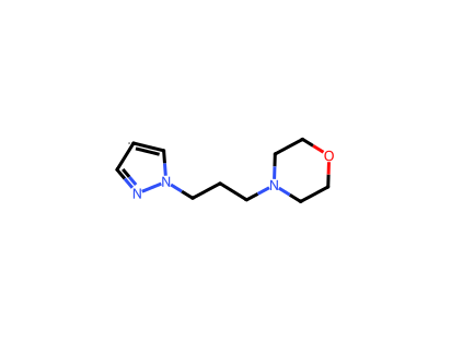 [c]1cnn(CCCN2CCOCC2)c1